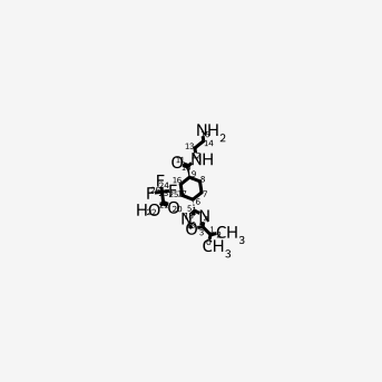 CC(C)c1nc([C@H]2CC[C@H](C(=O)NCCN)CC2)no1.O=C(O)C(F)(F)F